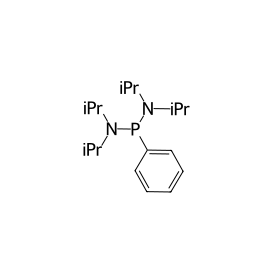 CC(C)N(C(C)C)P(c1ccccc1)N(C(C)C)C(C)C